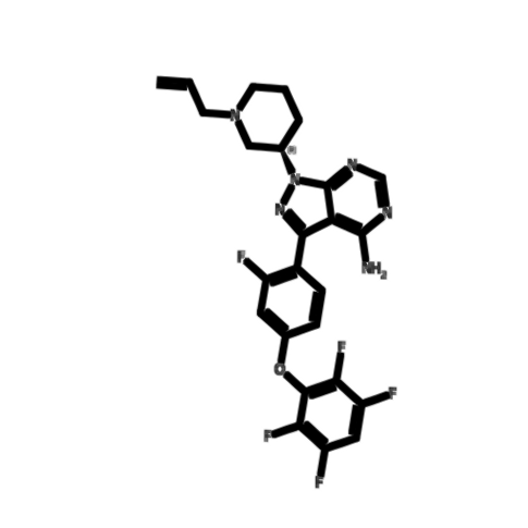 C=CCN1CCC[C@@H](n2nc(-c3ccc(Oc4c(F)c(F)cc(F)c4F)cc3F)c3c(N)ncnc32)C1